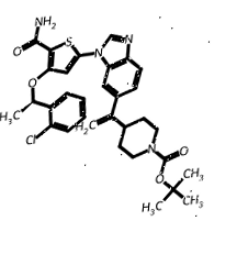 C=C(c1ccc2ncn(-c3cc(O[C@H](C)c4ccccc4Cl)c(C(N)=O)s3)c2c1)C1CCN(C(=O)OC(C)(C)C)CC1